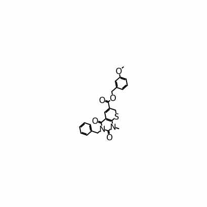 COc1cccc(COC(=O)C2=Cc3c(n(C)c(=O)n(Cc4ccccc4)c3=O)SC2)c1